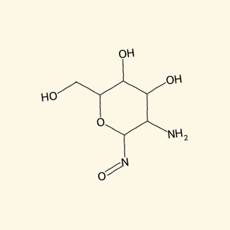 NC1C(N=O)OC(CO)C(O)C1O